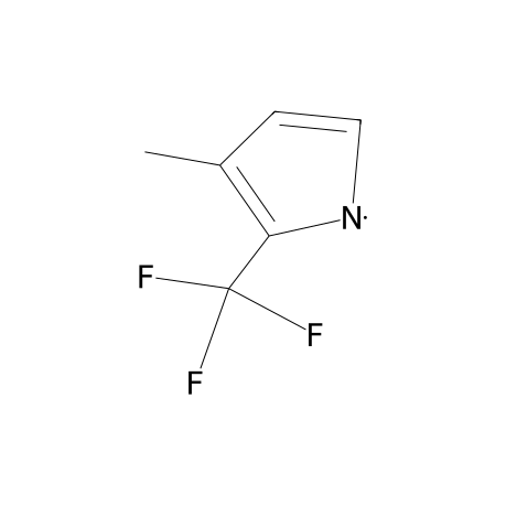 CC1=C(C(F)(F)F)[N]C=C1